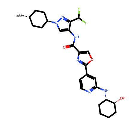 CCCC[C@H]1CC[C@H](n2cc(NC(=O)c3coc(-c4ccnc(N[C@H]5CCCC[C@H]5O)c4)n3)c(C(F)F)n2)CC1